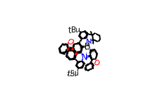 CC(C)(C)c1ccc(N2c3cc4c(oc5ccccc54)c4c3B(c3ccc5oc6ccccc6c5c32)N2c3c-4cc(C(C)(C)C)cc3C3(C)CCCCC23C)c(-c2ccccc2)c1